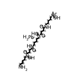 CC(=O)N(O)CCCCCNC(=O)CCC(=O)N(O)CCCCCNC(=O)CCC(=O)N(O)CCCCCN.[PbH2]